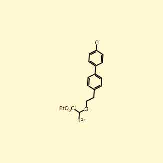 CCCC(OCCc1ccc(-c2ccc(Cl)cc2)cc1)C(=O)OCC